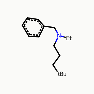 CCN(CCCC(C)(C)C)Cc1ccccc1